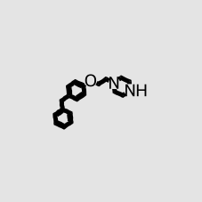 c1ccc(Cc2ccc(OCCN3CCNCC3)cc2)cc1